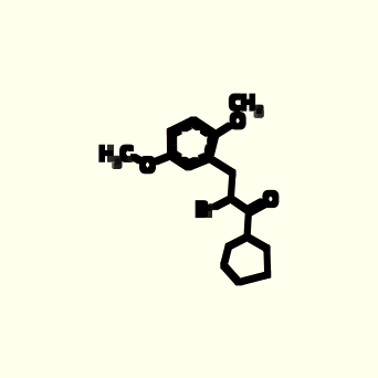 COc1ccc(OC)c(CC(Br)C(=O)C2CCCCC2)c1